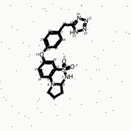 O=S1(=O)NC2CCCN2c2ccc(Oc3ccc(Cc4nnn[nH]4)cc3)cc21